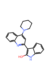 Oc1[nH]c2ccccc2c1-c1cc(N2CCCCC2)c2ccccc2n1